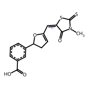 CN1C(=O)/C(=C\C2=CCC(c3cccc(C(=O)O)c3)O2)SC1=S